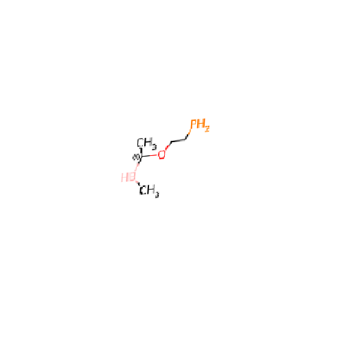 CB[C@@H](C)OCCP